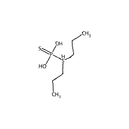 CCC[SH](CCC)P(O)(O)=S